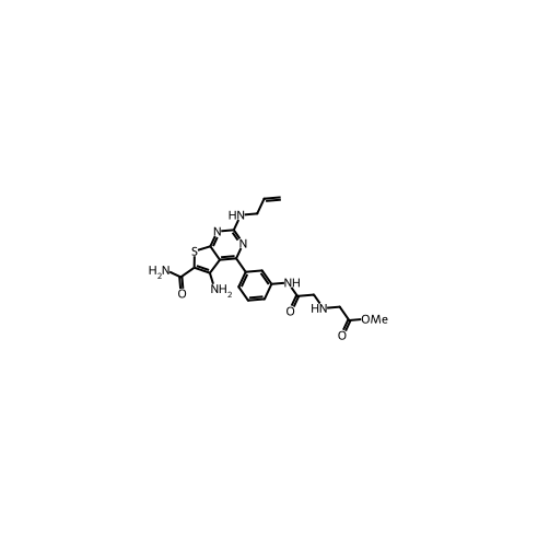 C=CCNc1nc(-c2cccc(NC(=O)CNCC(=O)OC)c2)c2c(N)c(C(N)=O)sc2n1